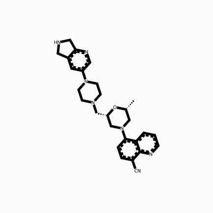 C[C@@H]1CN(c2ccc(C#N)c3ncccc23)C[C@H](CN2CCN(c3cnc4c(c3)CNC4)CC2)O1